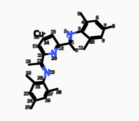 CC(=Nc1c(C)cc(C)cc1C)c1cccc(C(C)=Nc2c(C)cc(C)cc2C)n1.[Cu]